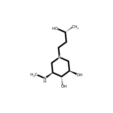 CN[C@H]1CN(CC[C@@H](C)O)C[C@@H](O)[C@@H]1O